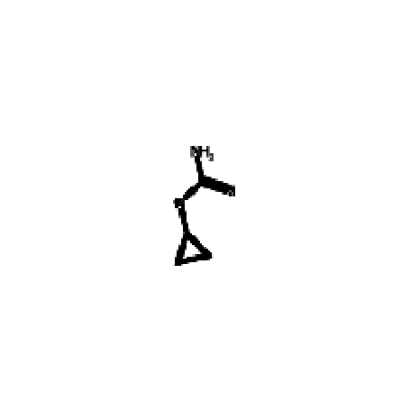 NC(=S)[N]C1CC1